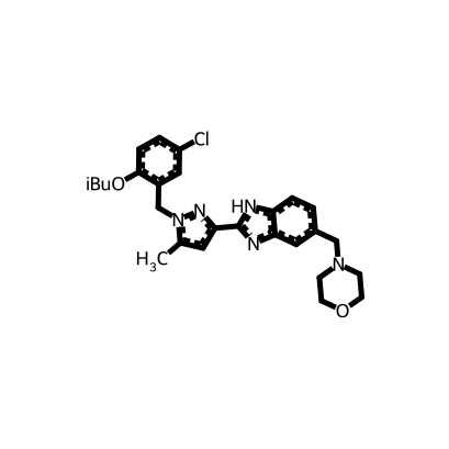 Cc1cc(-c2nc3cc(CN4CCOCC4)ccc3[nH]2)nn1Cc1cc(Cl)ccc1OCC(C)C